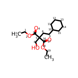 CCOC(=O)C(CO)(CCC1CCCCC1)C(=O)OCC